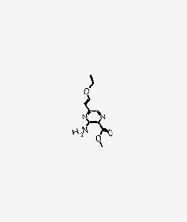 CCOC=Cc1cnc(C(=O)OC)c(N)n1